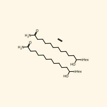 C=C.CCCCCCC(O)CCCCCCCCCCC(N)=O.CCCCCCC(O)CCCCCCCCCCC(N)=O